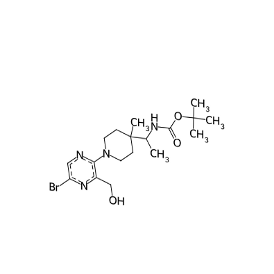 CC(NC(=O)OC(C)(C)C)C1(C)CCN(c2ncc(Br)nc2CO)CC1